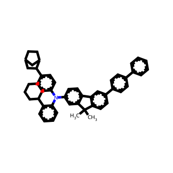 CC1(C)c2ccc(-c3ccc(-c4ccccc4)cc3)cc2-c2ccc(N(c3ccc(C4CC5CCC4C5)cc3)c3ccccc3C3CCCCC3)cc21